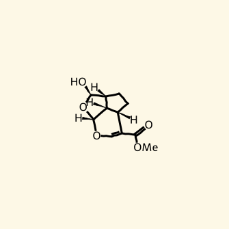 COC(=O)C1=CO[C@@H]2O[C@@H](O)[C@@H]3CC[C@H]1[C@H]23